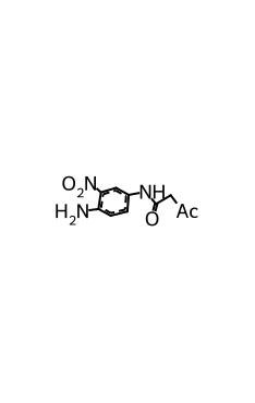 CC(=O)CC(=O)Nc1ccc(N)c([N+](=O)[O-])c1